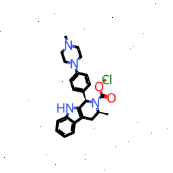 C[C@H]1Cc2c([nH]c3ccccc23)[C@@H](c2ccc(N3CCN(C)CC3)cc2)N1C(=O)OCl